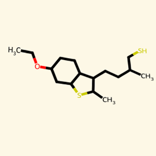 CCOC1CCC2C(C1)SC(C)C2CCC(C)CS